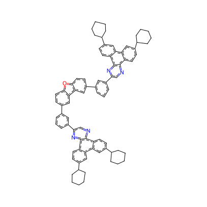 c1cc(-c2ccc3oc4ccc(-c5cccc(-c6cnc7c8ccc(C9CCCCC9)cc8c8cc(C9CCCCC9)ccc8c7n6)c5)cc4c3c2)cc(-c2cnc3c4ccc(C5CCCCC5)cc4c4cc(C5CCCCC5)ccc4c3n2)c1